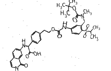 CC(C)S(=O)(=O)c1ccc(NC(=O)OCCc2ccc(C(Nc3ccc4cc[nH]c(=O)c4c3)C(=O)O)cc2)cc1CN(C)C(=O)OC(C)(C)C